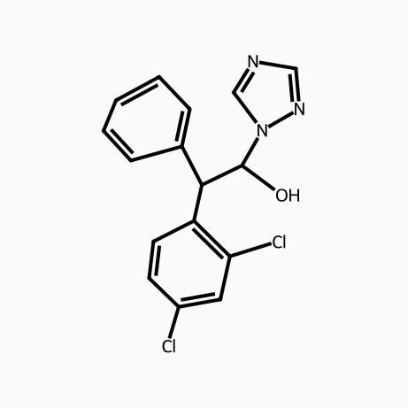 OC(C(c1ccccc1)c1ccc(Cl)cc1Cl)n1cncn1